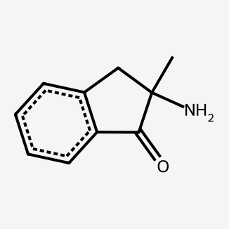 CC1(N)Cc2ccccc2C1=O